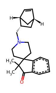 CC1(C)C(=O)c2ccccc2C12CCN(C[C@H]1C[C@H]3C=C[C@@H]1C3)CC2